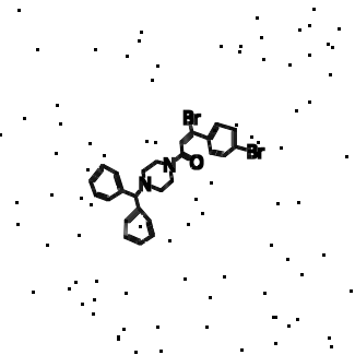 O=C(/C=C(/Br)c1ccc(Br)cc1)N1CCN(C(c2ccccc2)c2ccccc2)CC1